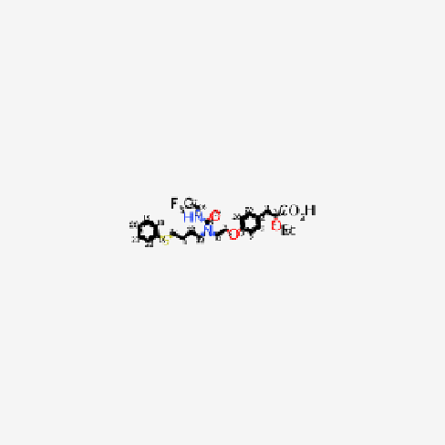 CCOC(Cc1ccc(OCCN(CCCCSc2ccccc2)C(=O)NCC(F)(F)F)cc1)C(=O)O